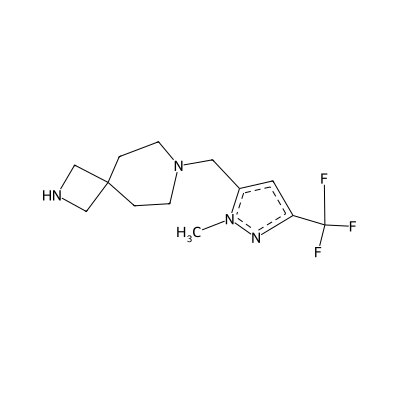 Cn1nc(C(F)(F)F)cc1CN1CCC2(CC1)CNC2